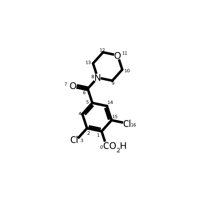 O=C(O)c1c(Cl)cc(C(=O)N2CCOCC2)cc1Cl